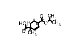 CC(C)OC(=O)C1C=CC(C)(C(=O)O)CC1